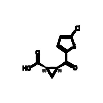 O=C(O)[C@H]1C[C@@H]1C(=O)c1ccc(Cl)s1